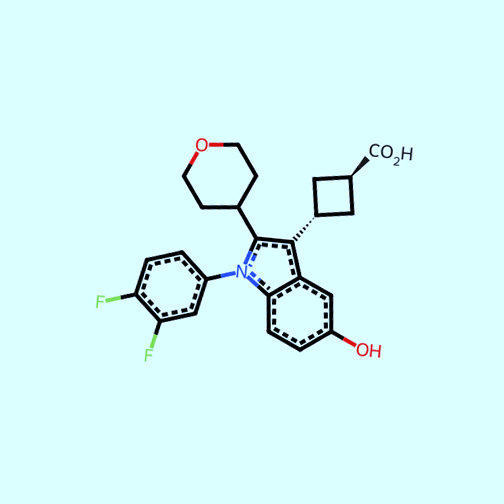 O=C(O)[C@H]1C[C@H](c2c(C3CCOCC3)n(-c3ccc(F)c(F)c3)c3ccc(O)cc32)C1